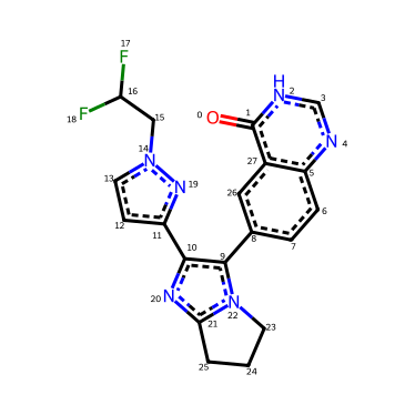 O=c1[nH]cnc2ccc(-c3c(-c4ccn(CC(F)F)n4)nc4n3CCC4)cc12